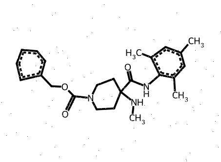 CNC1(C(=O)Nc2c(C)cc(C)cc2C)CCN(C(=O)OCc2ccccc2)CC1